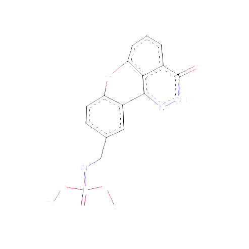 CCOP(=O)(NCc1ccc2c(c1)-c1n[nH]c(=O)c3cccc(c13)O2)OCC